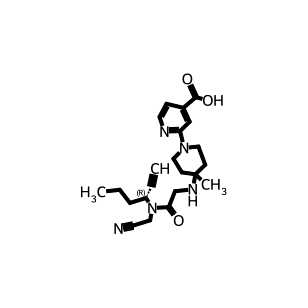 C#C[C@@H](CCC)N(CC#N)C(=O)CNC1(C)CCN(c2cc(C(=O)O)ccn2)CC1